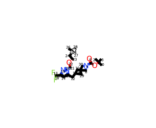 CC(C)(C)OC(=O)N1CC2(CC(Cc3cc(C(F)F)nn3COCC[Si](C)(C)C)C2)C1